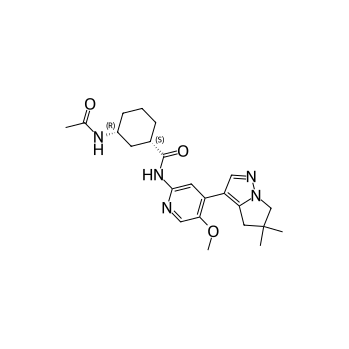 COc1cnc(NC(=O)[C@H]2CCC[C@@H](NC(C)=O)C2)cc1-c1cnn2c1CC(C)(C)C2